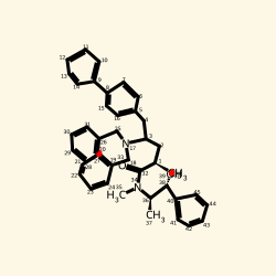 C[C@H](CC(Cc1ccc(-c2ccccc2)cc1)N(Cc1ccccc1)Cc1ccccc1)C(=O)N(C)[C@H](C)[C@H](O)c1ccccc1